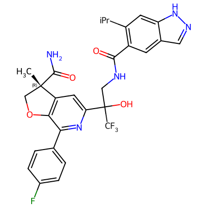 CC(C)c1cc2[nH]ncc2cc1C(=O)NCC(O)(c1cc2c(c(-c3ccc(F)cc3)n1)OC[C@]2(C)C(N)=O)C(F)(F)F